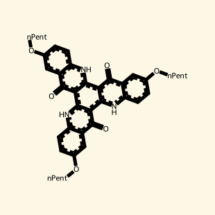 CCCCCOc1ccc2[nH]c3c4c(=O)c5cc(OCCCCC)ccc5[nH]c4c4c(=O)c5cc(OCCCCC)ccc5[nH]c4c3c(=O)c2c1